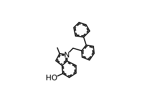 Cc1cc2c(O)cccc2n1Cc1ccccc1-c1ccccc1